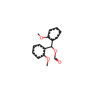 COc1ccccc1C(O[C]=O)c1ccccc1OC